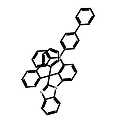 c1ccc(-c2ccc(N(c3ccccc3)c3cccc4c3C3(c5ccccc5-c5ccccc53)c3nc5ccccc5n3-4)cc2)cc1